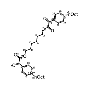 CCCCCCCC[n+]1ccc(C(=O)C(=O)OCCCCCCOC(=O)C(=O)c2cc[n+](CCCCCCCC)cc2)cc1